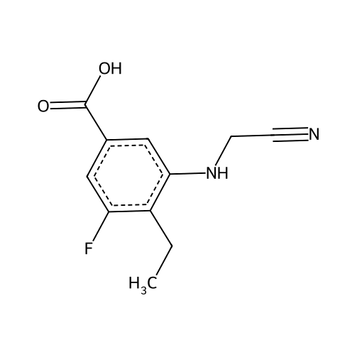 CCc1c(F)cc(C(=O)O)cc1NCC#N